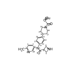 Cc1ccc(N(C(=O)C2CNC2)c2ccc(C3CCN(C(=O)OC(C)(C)C)CC3)cc2)cn1